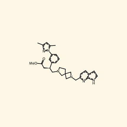 COC(=O)C[C@H](CN1CCC2(C1)CN(Cc1ccc3cc[nH]c3n1)C2)c1cccc(-n2nc(C)cc2C)c1